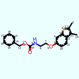 Cc1sc2cc(OCCNC(=O)OCc3ccccc3)ccc2c1C